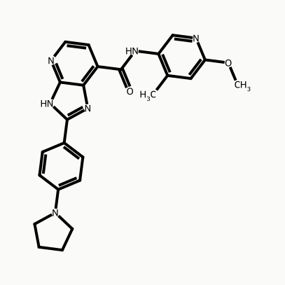 COc1cc(C)c(NC(=O)c2ccnc3[nH]c(-c4ccc(N5CCCC5)cc4)nc23)cn1